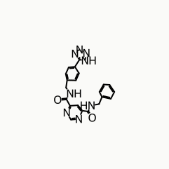 O=C(NCc1ccccc1)c1cc(C(=O)NCc2ccc(-c3nnn[nH]3)cc2)ncn1